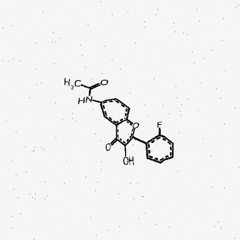 CC(=O)Nc1ccc2oc(-c3ccccc3F)c(O)c(=O)c2c1